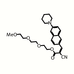 COCCOCCOCCOC(=O)C(C#N)=Cc1ccc2cc(N3CCCCC3)ccc2c1